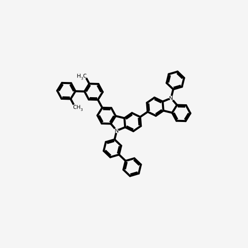 Cc1ccccc1-c1cc(-c2ccc3c(c2)c2cc(-c4ccc5c(c4)c4ccccc4n5-c4ccccc4)ccc2n3-c2cccc(-c3ccccc3)c2)ccc1C